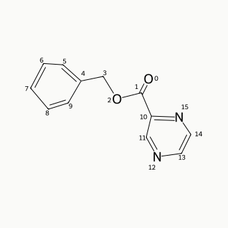 O=C(OCc1ccccc1)c1cnccn1